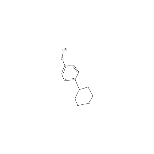 CCCOc1ccc(C2CC[CH]CC2)cc1